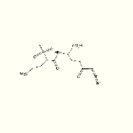 CSCCC(C(=O)NC(CCC(=O)C=[N+]=[N-])C(=O)O)S(C)(=O)=O